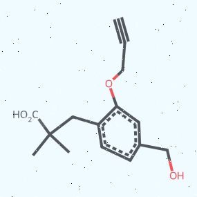 C#CCOc1cc(CO)ccc1CC(C)(C)C(=O)O